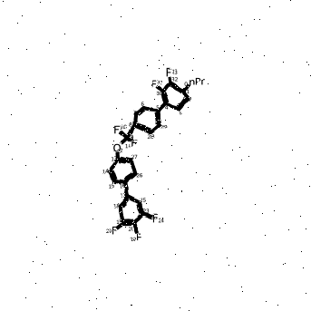 CCCc1ccc(-c2ccc(C(F)(F)Oc3ccc(-c4cc(F)c(F)c(F)c4)cc3)cc2)c(F)c1F